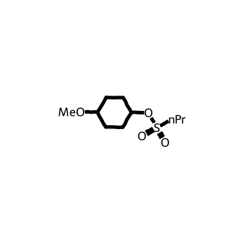 CCCS(=O)(=O)OC1CCC(OC)CC1